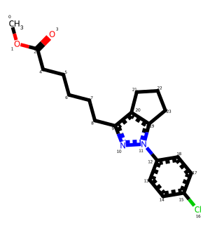 COC(=O)CCCCCc1nn(-c2ccc(Cl)cc2)c2c1CCC2